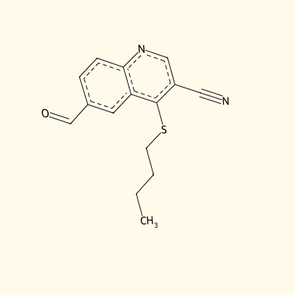 CCCCSc1c(C#N)cnc2ccc(C=O)cc12